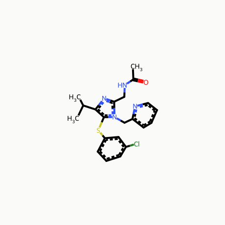 CC(=O)NCc1nc(C(C)C)c(Sc2cccc(Cl)c2)n1Cc1ccccn1